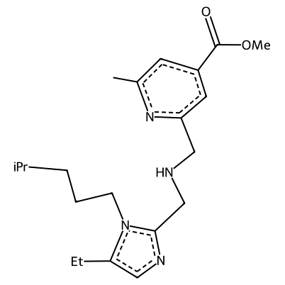 CCc1cnc(CNCc2cc(C(=O)OC)cc(C)n2)n1CCCC(C)C